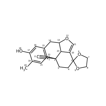 [C-]#[N+]C12CCC3(OCCO3)C3=COC(Cc4cc(O)c(C)cc41)C32